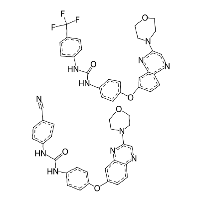 N#Cc1ccc(NC(=O)Nc2ccc(Oc3ccc4ncc(N5CCOCC5)nc4c3)cc2)cc1.O=C(Nc1ccc(Oc2ccc3ncc(N4CCOCC4)nc3c2)cc1)Nc1ccc(C(F)(F)F)cc1